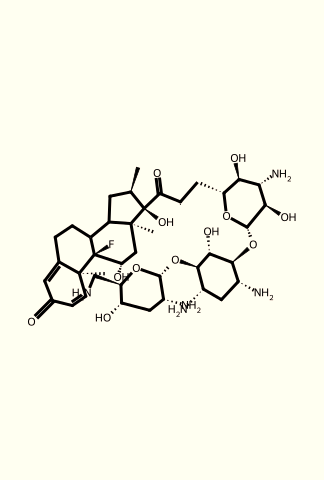 C[C@@H]1CC2C3CCC4=CC(=O)C=C[C@]4(C)[C@@]3(F)[C@@H](O)C[C@]2(C)[C@@]1(O)C(=O)[CH]C[C@H]1O[C@@H](O[C@@H]2[C@@H](O)[C@H](O[C@H]3O[C@H](CN)[C@@H](O)C[C@H]3N)[C@@H](N)C[C@H]2N)[C@H](O)[C@@H](N)[C@@H]1O